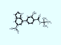 CC(C)(C)OC(=O)c1ccc(-c2cc([N+](=O)[O-])cc3ccoc23)cc1O